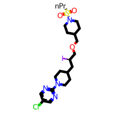 CCCS(=O)(=O)N1CCC(COC[C@H](I)CC2CCN(c3ncc(Cl)cn3)CC2)CC1